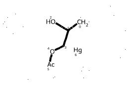 [CH2]C(O)COC(C)=O.[Hg]